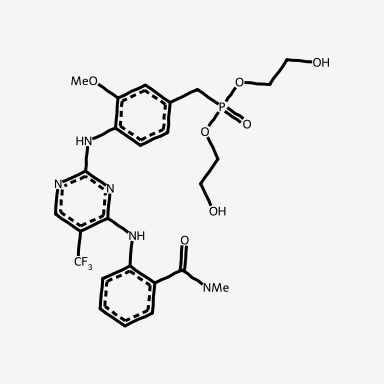 CNC(=O)c1ccccc1Nc1nc(Nc2ccc(CP(=O)(OCCO)OCCO)cc2OC)ncc1C(F)(F)F